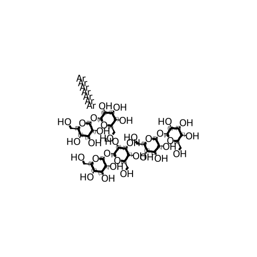 OC[C@H]1O[C@H](O[C@H]2O[C@H](CO)[C@@H](O)[C@H](O)[C@H]2O)[C@H](O)[C@@H](O)[C@@H]1O.OC[C@H]1O[C@H](O[C@H]2O[C@H](CO)[C@@H](O)[C@H](O)[C@H]2O)[C@H](O)[C@@H](O)[C@@H]1O.OC[C@H]1O[C@H](O[C@H]2O[C@H](CO)[C@@H](O)[C@H](O)[C@H]2O)[C@H](O)[C@@H](O)[C@@H]1O.[Ar].[Ar].[Ar].[Ar].[Ar].[Ar].[Ar]